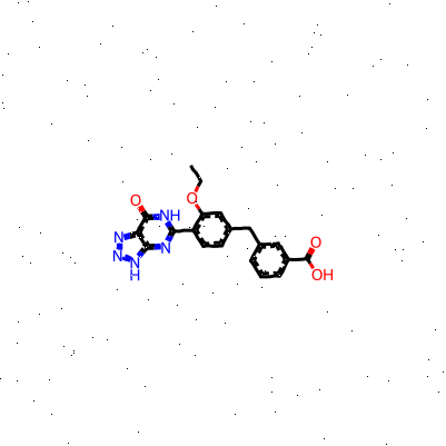 CCOc1cc(Cc2cccc(C(=O)O)c2)ccc1-c1nc2[nH]nnc2c(=O)[nH]1